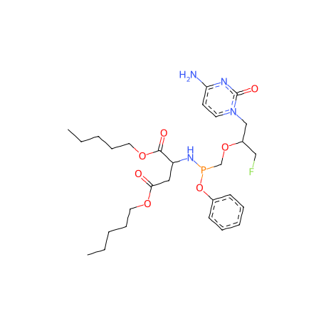 CCCCCOC(=O)CC(NP(COC(CF)Cn1ccc(N)nc1=O)Oc1ccccc1)C(=O)OCCCCC